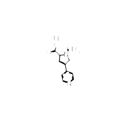 CC(=O)C1C=C(c2ccncc2)CN1C